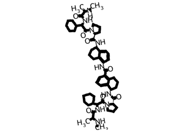 CNC(C)C(=O)NC(C(=O)N1CCC[C@H]1C(=O)N[C@@H]1CCCc2c(NC(=O)c3cccc4c3CCC[C@H]4NC(=O)[C@@H]3CCCN3C(=O)C(NC(=O)C(C)NC)C3CCCCC3)cccc21)C1CCCCC1